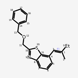 CC/C(C)=C/c1cccc2nc(COCc3ccccc3)sc12